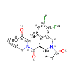 C#CCN(C(=O)C[C@@H]1CCC(=O)N1Cc1cccc(F)c1F)[C@H](C(=O)OC)C(C)C